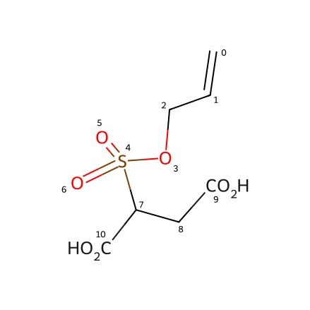 C=CCOS(=O)(=O)C(CC(=O)O)C(=O)O